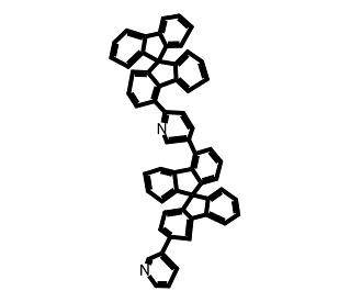 c1cncc(-c2ccc3c(c2)-c2ccccc2C32c3ccccc3-c3c(-c4ccc(-c5cccc6c5-c5ccccc5C65c6ccccc6-c6ccccc65)nc4)cccc32)c1